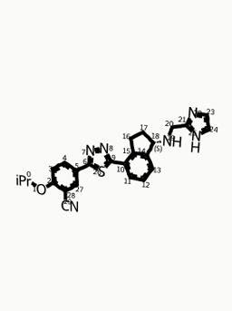 CC(C)Oc1ccc(-c2nnc(-c3cccc4c3CC[C@@H]4NCc3ncc[nH]3)s2)cc1C#N